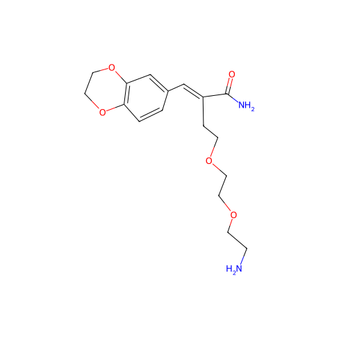 NCCOCCOCC/C(=C\c1ccc2c(c1)OCCO2)C(N)=O